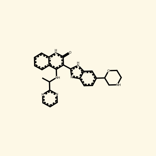 CC(Nc1c(-c2nc3ccc(C4CNCCO4)cc3[nH]2)c(=O)[nH]c2ccccc12)c1ncccn1